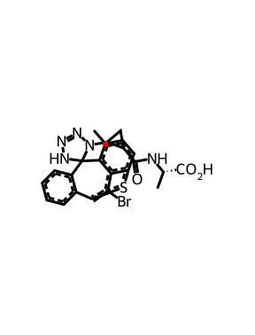 Cc1ccc2sc3c(Br)c2c1C1(NN=NN1C1CC1C(=O)N[C@@H](C)C(=O)O)c1ccccc1-3